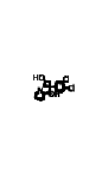 O[C@H](c1ccccn1)[C@]1(c2ccc(Cl)c(Cl)c2)C[C@@H](O)C1